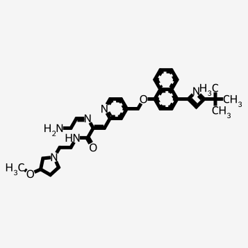 COC1CCN(CCNC(=O)C(=Cc2cc(COc3ccc(C4=CC(C(C)(C)C)=N4)c4ccccc34)ccn2)/N=C\CN)C1